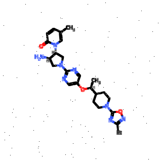 CCc1noc(N2CCC([C@H](C)Oc3cnc(N4C[C@@H](N)[C@H](n5cc(C)ccc5=O)C4)nc3)CC2)n1